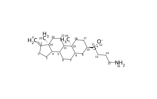 C=C1CCC2C3CCC4C[C@H]([S+]([O-])CCCN)CC[C@]4(C)C3CC[C@]12C